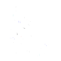 Cc1cccc(F)c1C(=O)N1CCC[C@H](C(=O)Nc2cccc(C(C)(C)C)c2)[C@@H]1c1ccc(CCCN2CCC(C)(F)C2)cc1